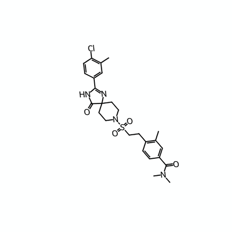 Cc1cc(C2=NC3(CCN(S(=O)(=O)CCc4ccc(C(=O)N(C)C)cc4C)CC3)C(=O)N2)ccc1Cl